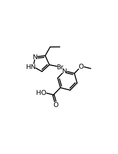 CCc1n[nH]cc1Br.COc1ccc(C(=O)O)cn1